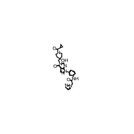 O=C(Cn1cccn1)Nc1cccc(-n2ncc3c(=O)n(CC4(O)CCN(C(=O)C5CC5)CC4)cnc32)c1